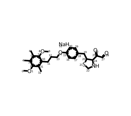 COc1c(C)c(C)c(OC)c(CCCOc2ccc(CC3SCNC3C(=O)C=O)cc2)c1C.[NaH]